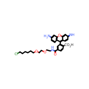 N=c1ccc2c(-c3cc(C(=O)NCCOCCOCCCCCCCl)ccc3C(=O)O)c3ccc(N)cc3oc-2c1